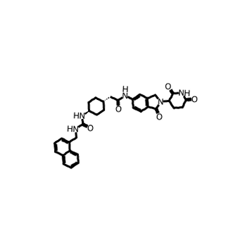 O=C1CCC(N2Cc3cc(NC(=O)C[C@H]4CC[C@H](NC(=O)NCc5cccc6ccccc56)CC4)ccc3C2=O)C(=O)N1